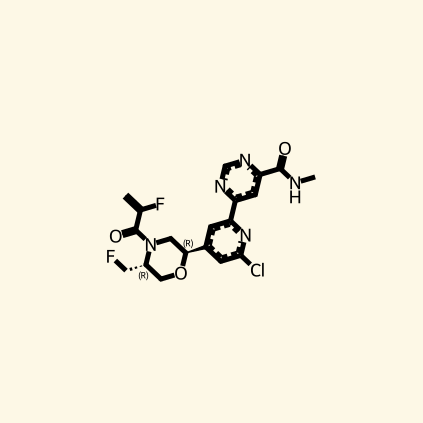 C=C(F)C(=O)N1C[C@@H](c2cc(Cl)nc(-c3cc(C(=O)NC)ncn3)c2)OC[C@@H]1CF